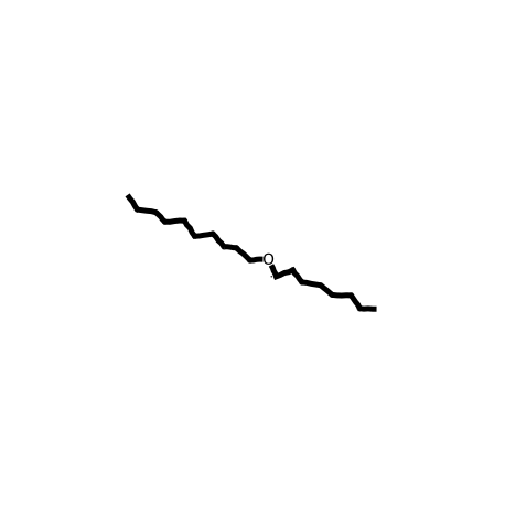 CCCCCCC[CH]OCCCCCCCCCC